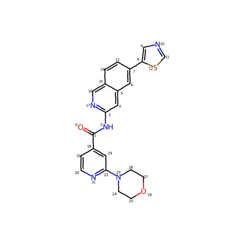 O=C(Nc1cc2cc(-c3cncs3)ccc2cn1)c1ccnc(N2CCOCC2)c1